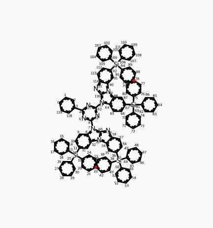 c1ccc(-c2nc(-n3c4ccc([Si](c5ccccc5)(c5ccccc5)c5ccccc5)cc4n4c5cc([Si](c6ccccc6)(c6ccccc6)c6ccccc6)ccc5nc34)nc(-n3c4ccc([Si](c5ccccc5)(c5ccccc5)c5ccccc5)cc4n4c5cc([Si](c6ccccc6)(c6ccccc6)c6ccccc6)ccc5nc34)n2)cc1